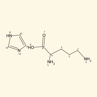 NCCCC(N)C(=O)O.c1c[nH]cn1